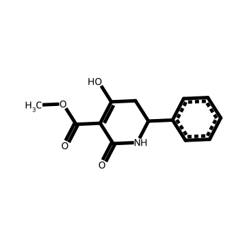 COC(=O)C1=C(O)CC(c2ccccc2)NC1=O